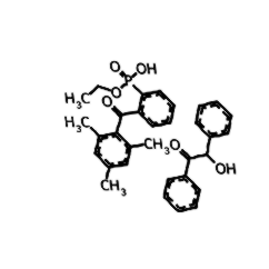 CCOP(=O)(O)c1ccccc1C(=O)c1c(C)cc(C)cc1C.O=C(c1ccccc1)C(O)c1ccccc1